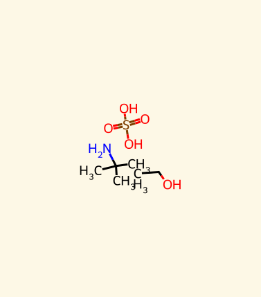 CC(C)(C)N.CCO.O=S(=O)(O)O